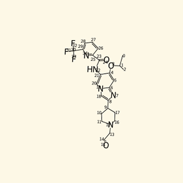 CC(C)Oc1cc2nc(C3CCN(CC=O)CC3)cn2cc1NC(=O)c1cccc(C(F)(F)F)n1